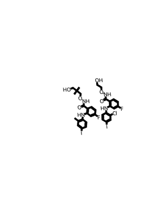 Cc1cc(I)ccc1Nc1cc(F)ccc1C(=O)NOCC(C)(C)CO.O=C(NOCCO)c1ccc(F)cc1Nc1ccc(I)cc1Cl